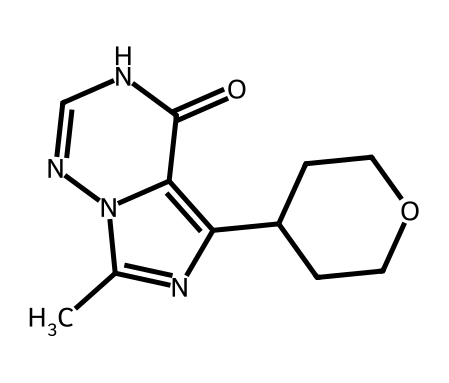 Cc1nc(C2CCOCC2)c2c(=O)[nH]cnn12